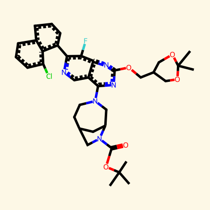 CC(C)(C)OC(=O)N1CC2CCN(c3nc(OCC4COC(C)(C)OC4)nc4c(F)c(-c5cccc6cccc(Cl)c56)ncc34)CC1C2